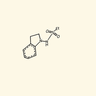 CCS(=O)(=O)NN1CCc2ccccc21